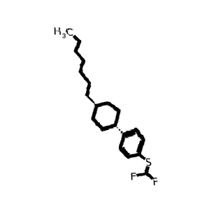 CCCCCCC[C@H]1CC[C@H](c2ccc(SC(F)F)cc2)CC1